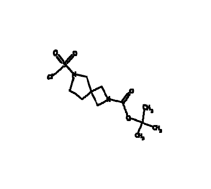 CC(C)(C)OC(=O)N1CC2(CCN(S(=O)(=O)Cl)C2)C1